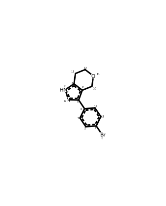 Brc1ccc(-c2n[nH]c3c2COCC3)cc1